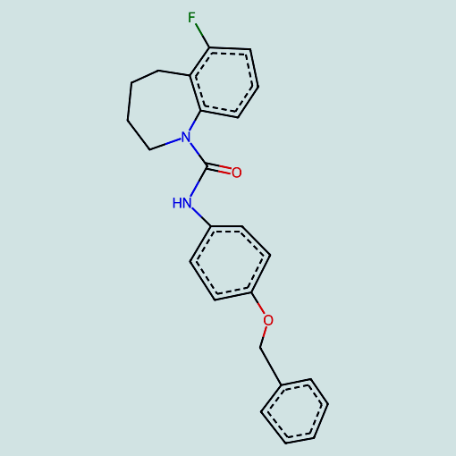 O=C(Nc1ccc(OCc2ccccc2)cc1)N1CCCCc2c(F)cccc21